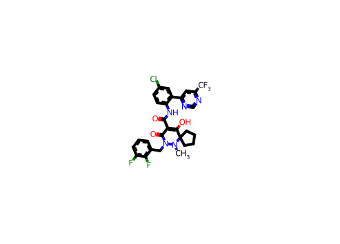 CN1N(Cc2cccc(F)c2F)C(=O)C(C(=O)Nc2ccc(Cl)cc2-c2cc(C(F)(F)F)ncn2)=C(O)C12CCCC2